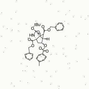 Cc1ccc(S(=O)(=O)O[C@H]2C[C@@](NC(=O)OC(C)(C)C)(C(=O)OCc3ccccc3)[C@@H]3[C@@H](C(=O)OCc4ccccc4)[C@@H]32)cc1